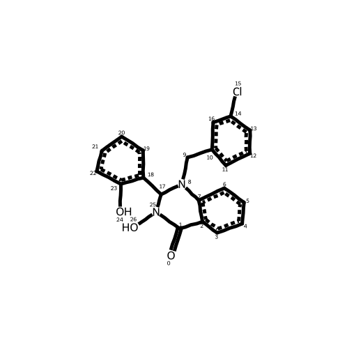 O=C1c2ccccc2N(Cc2cccc(Cl)c2)C(c2ccccc2O)N1O